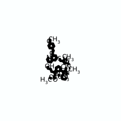 COC(=O)c1c(CCCO)c2ccc(Cl)c(-c3c(CN(C)Cc4cc(CSc5cc(OCc6ccc(OC)cc6)c6ncccc6c5)n(C)n4)nn4c3CCCC4)c2n1C